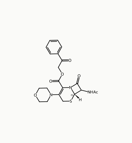 CC(=O)NC1C(=O)N2C(C(=O)OCC(=O)c3ccccc3)=C(N3CCOCC3)CS[C@@H]12